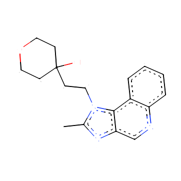 Cc1nc2cnc3ccccc3c2n1CCC1(O)CCOCC1